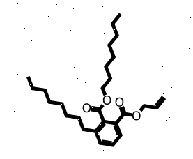 C=CCOC(=O)c1cccc(CCCCCCCC)c1C(=O)OCCCCCCCC